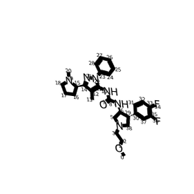 COCCN1C[C@@H](NC(=O)Nc2c(C)c([C@H]3CCCN3C)nn2-c2ccccc2)[C@H](c2ccc(F)c(F)c2)C1